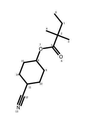 CCC(C)(C)C(=O)OC1CCC(C#N)CC1